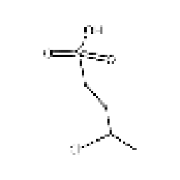 CC(Cl)CCS(=O)(=O)O